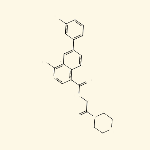 Nc1ncc(C(=O)NCC(=O)N2CCOCC2)c2ccc(-c3cccc(F)c3)cc12